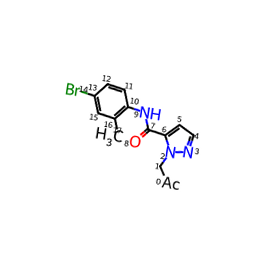 CC(=O)Cn1nccc1C(=O)Nc1ccc(Br)cc1C